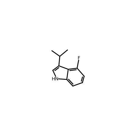 CC(C)c1c[nH]c2cccc(F)c12